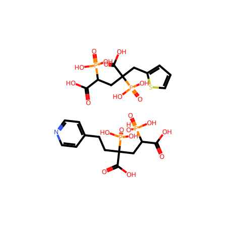 O=C(O)C(CC(CCc1ccncc1)(C(=O)O)P(=O)(O)O)P(=O)(O)O.O=C(O)C(CC(Cc1cccs1)(C(=O)O)P(=O)(O)O)P(=O)(O)O